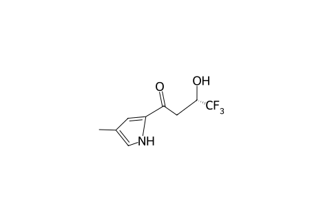 Cc1c[nH]c(C(=O)C[C@H](O)C(F)(F)F)c1